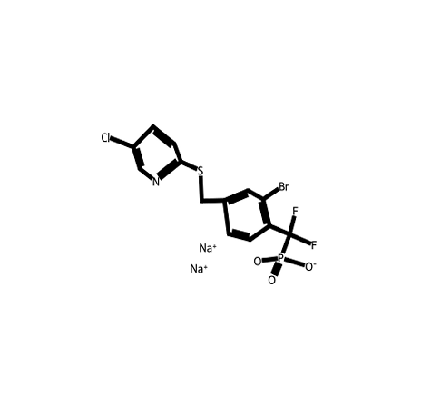 O=P([O-])([O-])C(F)(F)c1ccc(CSc2ccc(Cl)cn2)cc1Br.[Na+].[Na+]